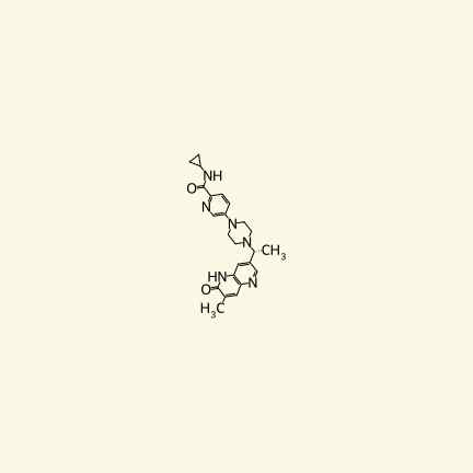 Cc1cc2ncc([C@@H](C)N3CCN(c4ccc(C(=O)NC5CC5)nc4)CC3)cc2[nH]c1=O